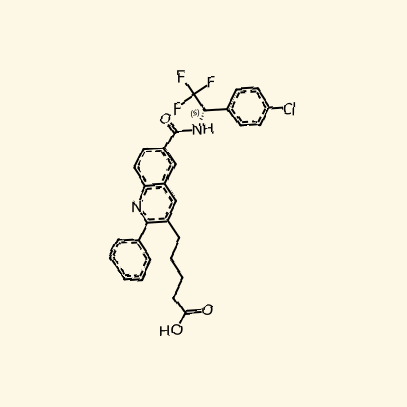 O=C(O)CCCCc1cc2cc(C(=O)N[C@@H](c3ccc(Cl)cc3)C(F)(F)F)ccc2nc1-c1ccccc1